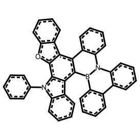 c1ccc(-n2c3ccccc3c3c4c(c5c6ccccc6oc5c32)-c2ccccc2N2B4c3ccccc3-c3ccccc32)cc1